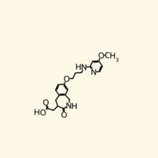 COc1ccnc(NCCCOc2ccc3c(c2)CNC(=O)C(CC(=O)O)C3)c1